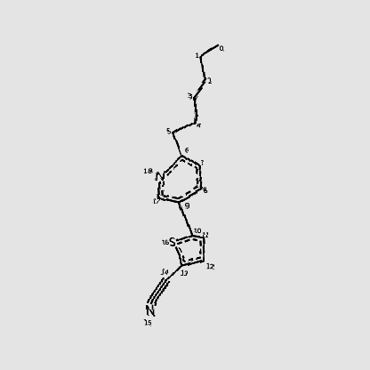 CCCCCCc1ccc(-c2ccc(C#N)s2)cn1